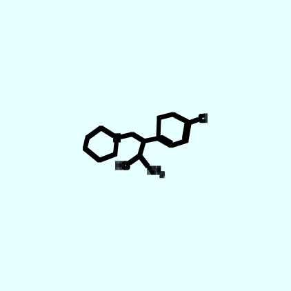 NC(O)C(CN1CCCCC1)C1=CC=C(Cl)CC1